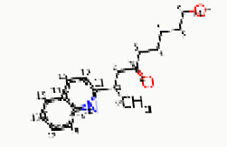 CC(CC(=O)CCCCC[O])c1ccc2ccccc2n1